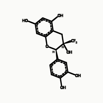 Oc1cc(O)c2c(c1)O[C@H](c1ccc(O)c(O)c1)[C@](O)(C(F)(F)F)C2